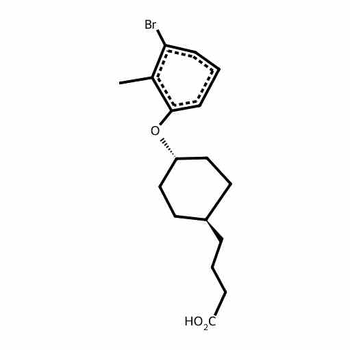 Cc1c(Br)cccc1O[C@H]1CC[C@H](CCCC(=O)O)CC1